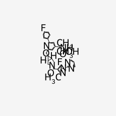 Cc1nn(-c2ncccn2)c(F)c1C(=O)N1C[C@@H]2[C@H](C1)[C@@H]2Oc1cc(C(C)(C)NC(=O)O)cc(-c2ccc(F)cc2)n1